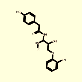 CCNC(NC(=O)Cc1ccc(O)cc1)C(O)COc1ccccc1C#N